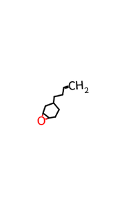 C=CCCC1CCC2OC2C1